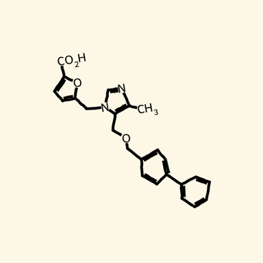 Cc1ncn(Cc2ccc(C(=O)O)o2)c1COCc1ccc(-c2ccccc2)cc1